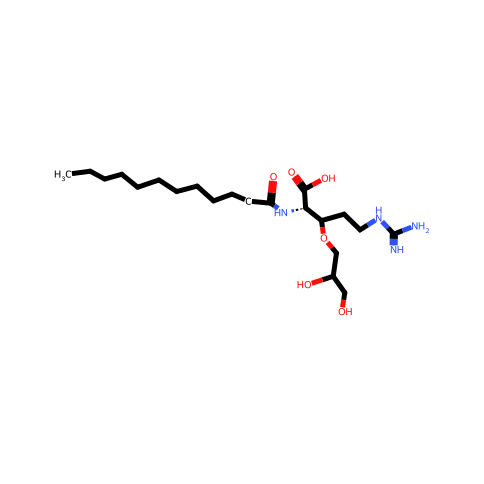 CCCCCCCCCCCC(=O)N[C@H](C(=O)O)C(CCNC(=N)N)OCC(O)CO